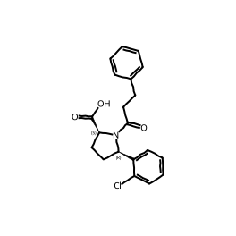 O=C(O)[C@@H]1CC[C@H](c2ccccc2Cl)N1C(=O)CCc1ccccc1